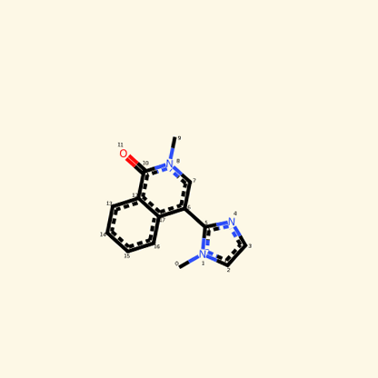 Cn1ccnc1-c1cn(C)c(=O)c2ccccc12